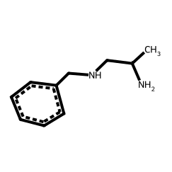 C[C](N)CNCc1ccccc1